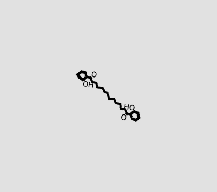 O=C(CCCCCCCCCCCCC(=O)c1ccccc1O)c1ccccc1O